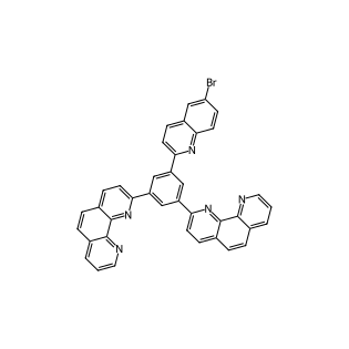 Brc1ccc2nc(-c3cc(-c4ccc5ccc6cccnc6c5n4)cc(-c4ccc5ccc6cccnc6c5n4)c3)ccc2c1